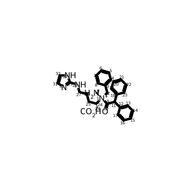 N[N@@+](Cc1ccccc1)(C(=O)C(c1ccccc1)c1ccccc1)[C@@H](CCCNc1ncc[nH]1)C(=O)O